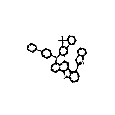 CC1(C)c2ccccc2-c2ccc(N(c3ccc(-c4ccccc4)cc3)c3cccc4c3ccc3c4sc4cccc(C5=Nc6ccccc6C5)c43)cc21